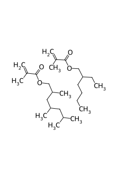 C=C(C)C(=O)OCC(C)CC(C)CC(C)C.C=C(C)C(=O)OCC(CC)CCCC